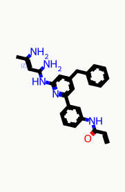 C=CC(=O)Nc1cccc(-c2cc(Cc3ccccc3)cc(NC(N)/C=C(/C)N)n2)c1